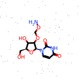 NOCOC1C(O)[C@H](CO)O[C@@H]1n1ccc(=O)[nH]c1=O